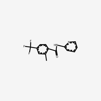 Cc1cc(C(F)(F)F)ccc1C(=O)Nc1ccccn1